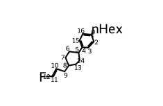 CCCCCCc1ccc(C2CCC(CC=CF)CC2)cc1